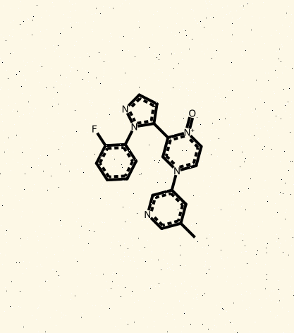 Cc1cncc(-n2cc[n+](=O)c(-c3ccnn3-c3ccccc3F)c2)c1